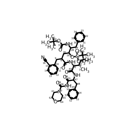 CC[C@H](C)[C@H](NC(=O)C(Cc1ccccc1C#N)CC(O[Si](C)(C)C(C)(C)C)C(Cc1ccccc1)NC(=O)OC(C)(C)C)C(=O)NC(Cc1ccccc1)C(=O)NC(=O)N1CCOCC1